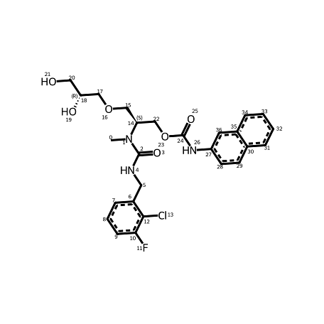 CN(C(=O)NCc1cccc(F)c1Cl)[C@@H](COC[C@H](O)CO)COC(=O)Nc1ccc2ccccc2c1